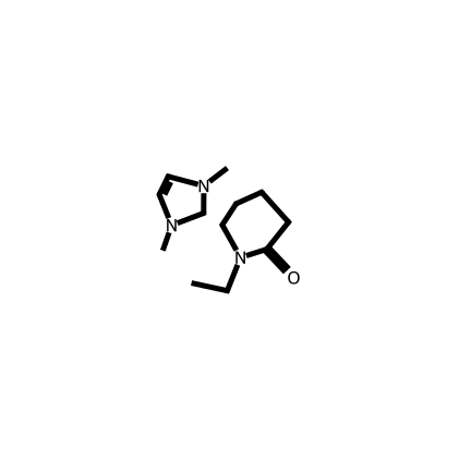 CCN1CCCCC1=O.CN1C=CN(C)C1